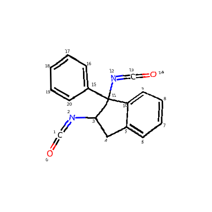 O=C=NC1Cc2ccccc2C1(N=C=O)c1ccccc1